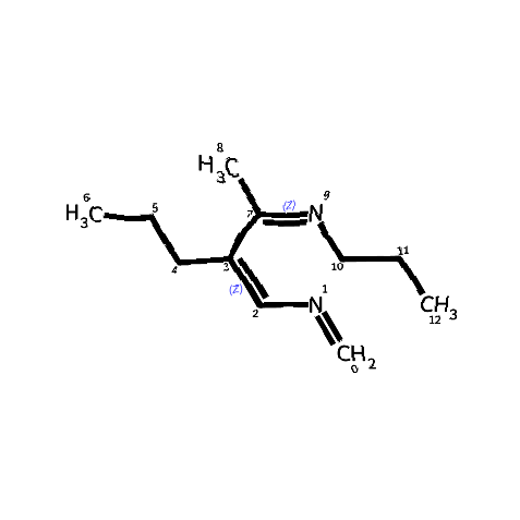 C=N/C=C(CCC)\C(C)=N/CCC